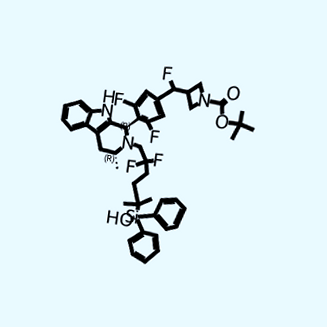 C[C@@H]1Cc2c([nH]c3ccccc23)[C@@H](c2c(F)cc(C(F)C3CN(C(=O)OC(C)(C)C)C3)cc2F)N1CC(F)(F)CCC(C)(C)[Si](O)(c1ccccc1)c1ccccc1